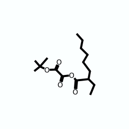 CCCCCCC(CC)C(=O)OC(=O)C(=O)OC(C)(C)C